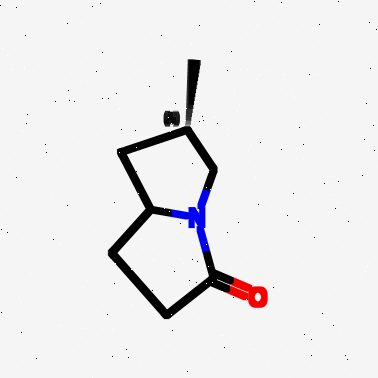 C[C@H]1CC2CCC(=O)N2C1